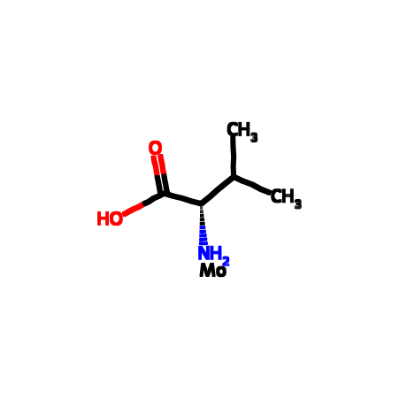 CC(C)[C@H](N)C(=O)O.[Mo]